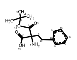 CC(C)(C)OC(=O)C(N)(CCc1ccccc1)C(=O)O